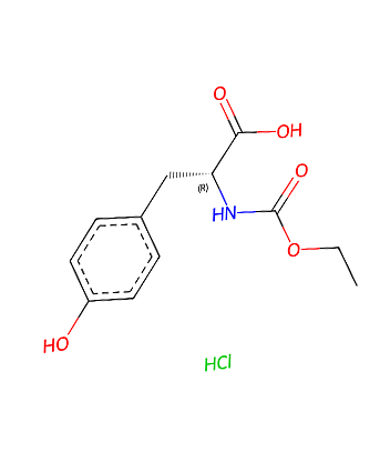 CCOC(=O)N[C@H](Cc1ccc(O)cc1)C(=O)O.Cl